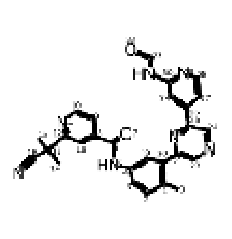 Cc1ccc(NC(=O)c2ccnc(C(C)(C)C#N)c2)cc1-c1cncc(-c2ccnc(NC=O)c2)n1